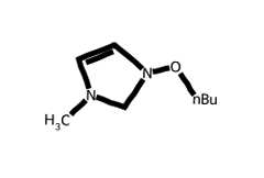 CCCCON1C=CN(C)C1